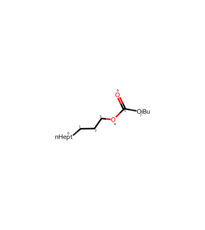 CCCCCCCCCCOC(=O)OCC(C)C